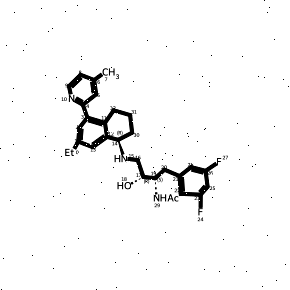 CCc1cc(-c2cc(C)ccn2)c2c(c1)[C@H](NC[C@@H](O)[C@H](Cc1cc(F)cc(F)c1)NC(C)=O)CCC2